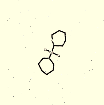 [Cl][Pd]([Cl])([CH]1CCCCCC1)[CH]1CCCCCC1